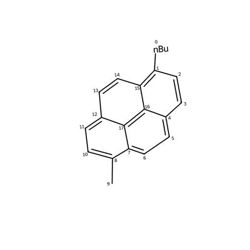 CCCCc1ccc2ccc3c(C)ccc4ccc1c2c43